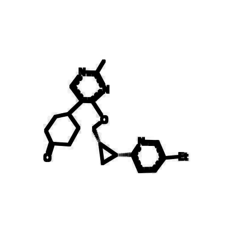 CCc1ccc([C@@H]2C[C@@H]2COc2nc(C)ncc2C2CCC(=O)CC2)nc1